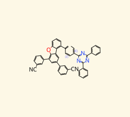 C=C(/C=C\C(=C/C)c1nc(-c2ccccc2)nc(-c2ccccc2)n1)c1cccc2oc3c(-c4cccc(C#N)c4)cc(-c4cccc(C#N)c4)cc3c12